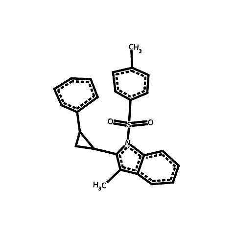 Cc1ccc(S(=O)(=O)n2c(C3CC3c3ccccc3)c(C)c3ccccc32)cc1